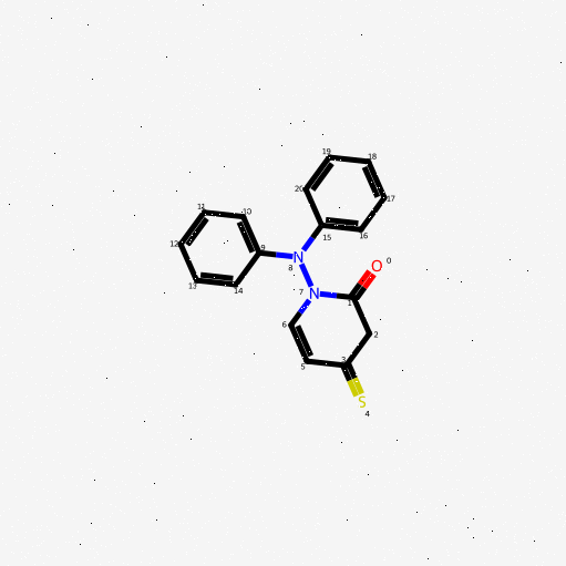 O=C1CC(=S)C=CN1N(c1ccccc1)c1ccccc1